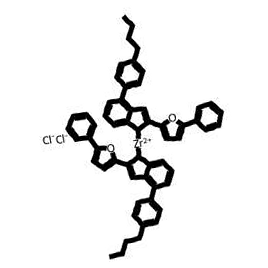 CCCCc1ccc(-c2cccc3c2C=C(c2ccc(-c4ccccc4)o2)[CH]3[Zr+2][CH]2C(c3ccc(-c4ccccc4)o3)=Cc3c(-c4ccc(CCCC)cc4)cccc32)cc1.[Cl-].[Cl-]